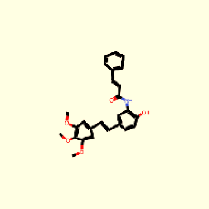 COc1cc(C=Cc2ccc(O)c(NC(=O)C=Cc3ccccc3)c2)cc(OC)c1OC